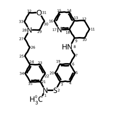 CN(Sc1ccc(CNC2CCCc3cccnc32)cc1)c1ccc(CCCN2CCOCC2)cc1